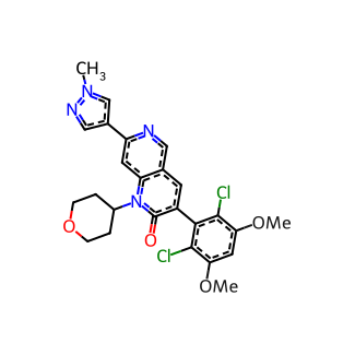 COc1cc(OC)c(Cl)c(-c2cc3cnc(-c4cnn(C)c4)cc3n(C3CCOCC3)c2=O)c1Cl